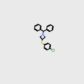 Clc1ccc(SC2CN(C(c3ccccc3)c3ccccc3)C2)cc1